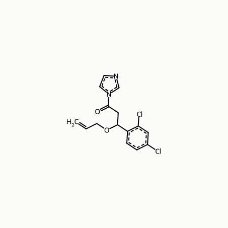 C=CCOC(CC(=O)n1ccnc1)c1ccc(Cl)cc1Cl